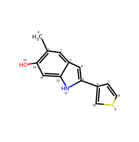 Cc1cc2cc(-c3ccsc3)[nH]c2cc1O